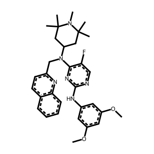 COc1cc(Nc2ncc(F)c(N(Cc3ccc4ccccc4n3)C3CC(C)(C)N(C)C(C)(C)C3)n2)cc(OC)c1